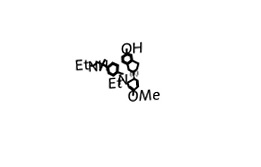 CCNCC(C)(C)c1ccc(CN(CC)C2C=C(OC)C=CC2[C@@H]2CCc3cc(O)ccc3C2)cc1